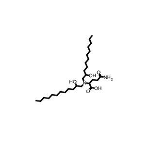 CCCCCCCCCCC(O)CN(CC(O)CCCCCCCCCC)C(CCC(N)=O)C(=O)O